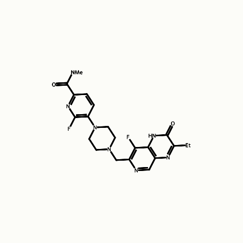 CCc1nc2cnc(CN3CCN(c4ccc(C(=O)NC)nc4F)CC3)c(F)c2[nH]c1=O